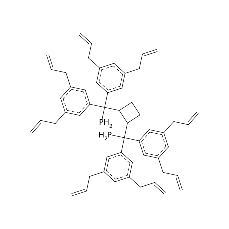 C=CCc1cc(CC=C)cc(C(P)(c2cc(CC=C)cc(CC=C)c2)C2CCC2C(P)(c2cc(CC=C)cc(CC=C)c2)c2cc(CC=C)cc(CC=C)c2)c1